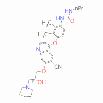 CCCNC(=O)Nc1ccc(Oc2ccnc3cc(OC[C@H](O)CN4CCCCC4)c(C#N)cc23)c(C)c1C